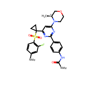 CNC(=O)Nc1ccc(-c2nc(N3CCOC[C@@H]3C)cc(C3(S(=O)(=O)c4ccc(NC)cc4F)CC3)n2)cc1